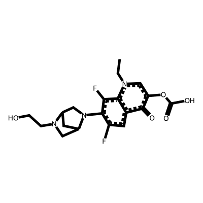 CCn1cc(OC(=O)O)c(=O)c2cc(F)c(N3CC4CC3CN4CCO)c(F)c21